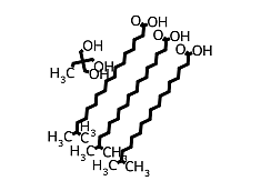 CC(C)CCCCCCCCCCCCCCC(=O)O.CC(C)CCCCCCCCCCCCCCC(=O)O.CC(C)CCCCCCCCCCCCCCC(=O)O.CCC(CO)(CO)CO